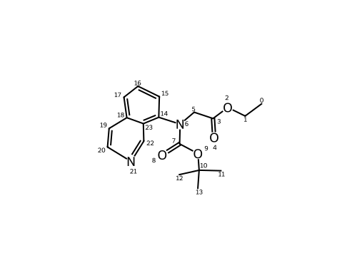 CCOC(=O)CN(C(=O)OC(C)(C)C)c1cccc2ccncc12